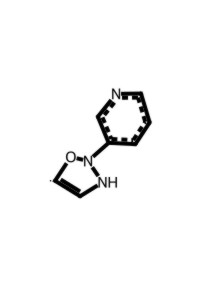 [C]1=CNN(c2cccnc2)O1